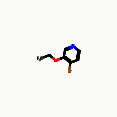 FC(F)(F)COc1cnccc1Br